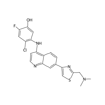 CN(C)Cc1nc(-c2ccc3c(Nc4cc(O)c(F)cc4Cl)ccnc3c2)cs1